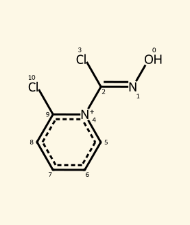 O/N=C(\Cl)[n+]1ccccc1Cl